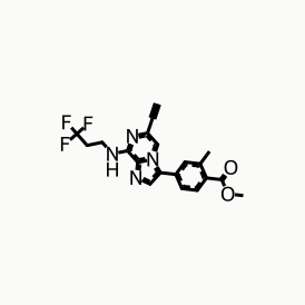 C#Cc1cn2c(-c3ccc(C(=O)OC)c(C)c3)cnc2c(NCCC(F)(F)F)n1